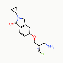 NC/C(=C\F)COc1ccc2c(c1)CN(C1CC1)C2=O